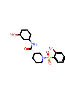 O=C(NC1CCCC(O)C1)[C@H]1CCCN(S(=O)(=O)c2ccccc2Br)C1